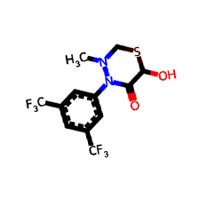 CN1CSC(O)C(=O)N1c1cc(C(F)(F)F)cc(C(F)(F)F)c1